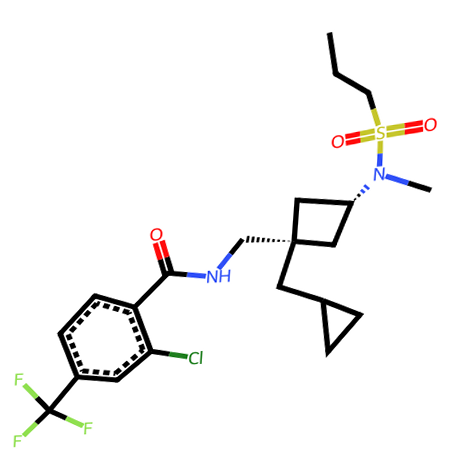 CCCS(=O)(=O)N(C)[C@H]1C[C@](CNC(=O)c2ccc(C(F)(F)F)cc2Cl)(CC2CC2)C1